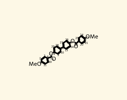 COc1ccc(C(=O)Oc2ccc(-c3ccc(OC(=O)c4ccc(OC)cc4)cc3)cc2)cc1